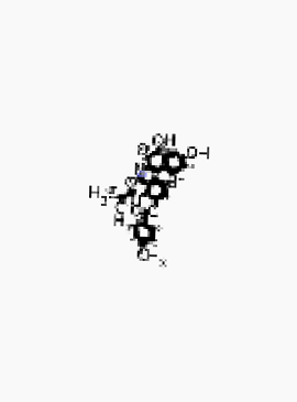 Cc1ccc(C(=O)Oc2cc(Br)cc(/C=N\C(Cc3ccc(O)cc3)C(=O)CO)c2OC(=O)C(C)C)cc1